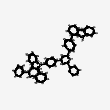 c1ccc(-c2nc(-c3ccc(-c4cccc5c4sc4ccccc45)cc3)cc(-c3ccc(-n4c5ccccc5c5c(-c6ccccc6)nc6ccccc6c54)cc3)n2)cc1